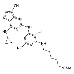 COCCOCCNc1cc(C#N)cc(Nc2nc(NC3CC3)c3ncc(C#N)n3n2)c1Cl